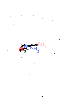 BCCCCC(C)(N)CN1CCOCC1